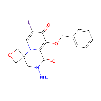 NN1CC2(COC2)n2cc(I)c(=O)c(OCc3ccccc3)c2C1=O